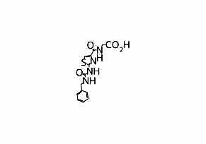 O=C(O)CNC(=O)c1csc(NC(=O)NCc2ccccc2)n1